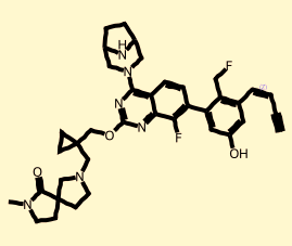 C#C/C=C\c1cc(O)cc(-c2ccc3c(N4CC5CCC(C4)N5)nc(OCC4(CN5CCC6(CCN(C)C6=O)C5)CC4)nc3c2F)c1CF